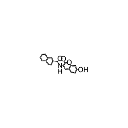 O=C(Nc1cc2ccc(O)cc2oc1=O)c1ccc2ccccc2c1